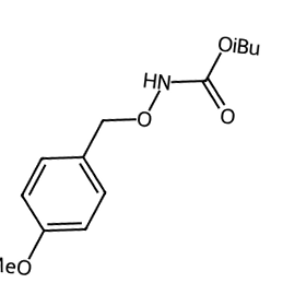 COc1ccc(CONC(=O)OCC(C)C)cc1